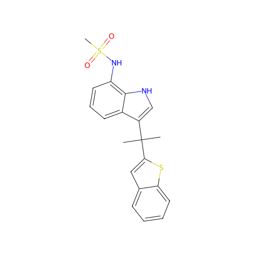 CC(C)(c1cc2ccccc2s1)c1c[nH]c2c(NS(C)(=O)=O)cccc12